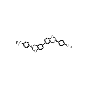 FC(F)(F)c1ccc(N2COc3ccc(-c4ccc5c(c4)CN(c4ccc(C(F)(F)F)cc4)CO5)cc3C2)cc1